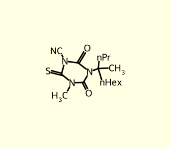 CCCCCCC(C)(CCC)n1c(=O)n(C)c(=S)n(C#N)c1=O